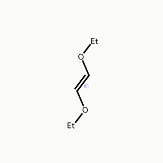 CCO/C=C/OCC